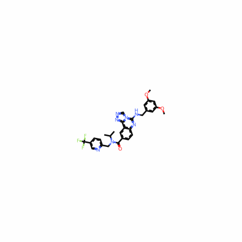 COc1cc(CNc2nc3ccc(C(=O)N(Cc4ccc(C(F)(F)F)cn4)C(C)C)cc3c3nncn23)cc(OC)c1